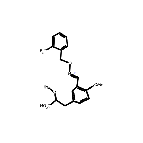 COc1ccc(CC(OC(C)C)C(=O)O)cc1/C=N/OCc1ccccc1C(F)(F)F